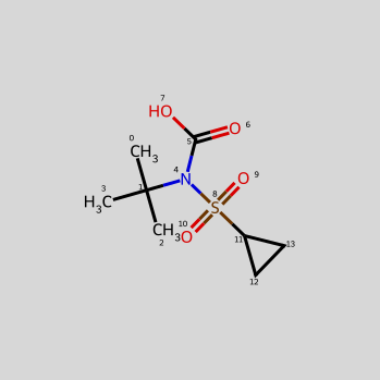 CC(C)(C)N(C(=O)O)S(=O)(=O)C1CC1